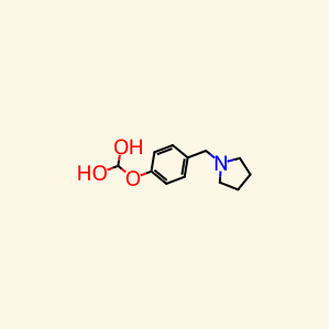 OC(O)Oc1ccc(CN2CCCC2)cc1